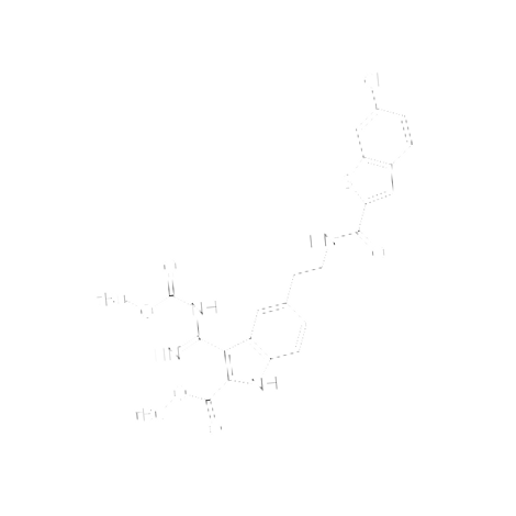 CC(C)(C)OC(=O)NC(=N)c1c(C(=O)OC(C)(C)C)[nH]c2ccc(CCNC(=O)c3cc4ccc(Cl)cc4s3)cc12